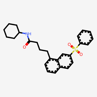 O=C(CCCc1cccc2ccc(S(=O)(=O)c3ccccc3)cc12)NC1CCCCC1